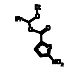 CCOC(OC(=O)c1ccc([N+](=O)[O-])s1)C(C)C